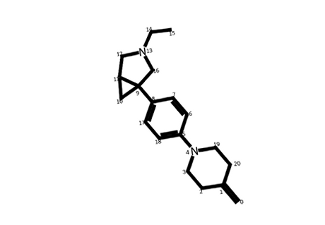 C=C1CCN(c2ccc(C34CC3CN(CC)C4)cc2)CC1